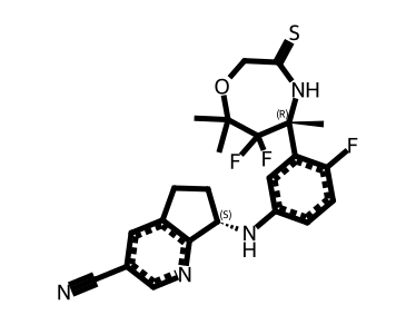 CC1(C)OCC(=S)N[C@](C)(c2cc(N[C@H]3CCc4cc(C#N)cnc43)ccc2F)C1(F)F